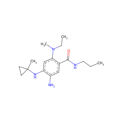 CCCNC(=O)c1cc(N)c(NC2(C)CC2)cc1N(C)CC